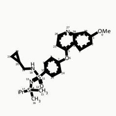 COc1ccc2c(Oc3ccc(S(=O)(=N[Si](C)(C)C(C)C)NCC4CC4)cc3)ccnc2c1